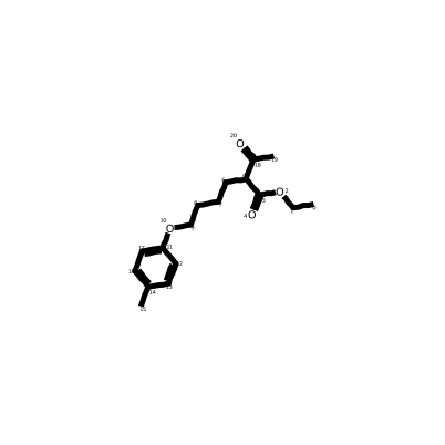 CCOC(=O)C(CCCCOc1ccc(C)cc1)C(C)=O